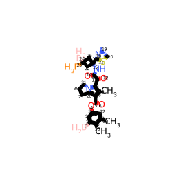 Bc1cc(OC(=O)c2c(C)c(C(=O)C(=O)NC3(c4nncs4)CC(B)(P)C3)n3c2CCC3)cc(C)c1C